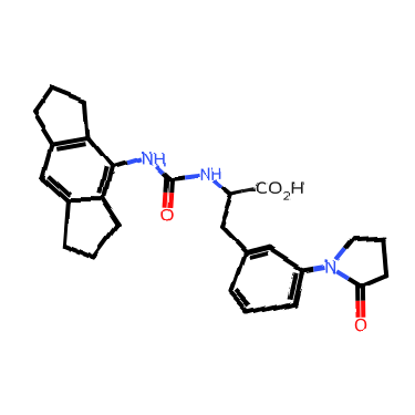 O=C(Nc1c2c(cc3c1CCC3)CCC2)NC(Cc1cccc(N2CCCC2=O)c1)C(=O)O